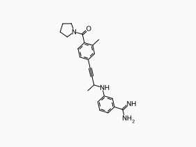 Cc1cc(C#CC(C)Nc2cccc(C(=N)N)c2)ccc1C(=O)N1CCCC1